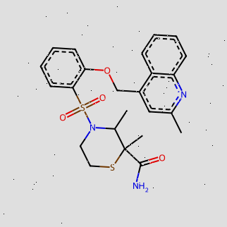 Cc1cc(COc2ccccc2S(=O)(=O)N2CCSC(C)(C(N)=O)C2C)c2ccccc2n1